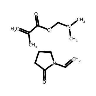 C=C(C)C(=O)OCN(C)C.C=CN1CCCC1=O